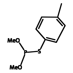 COP(OC)Sc1ccc(C)cc1